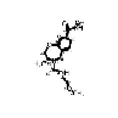 COCCNC(=O)N1CC2=CCC(C(=O)NO)C=C2OC[C@@H]1C